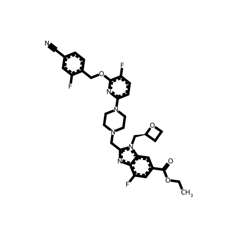 CCOC(=O)c1cc(F)c2nc(CN3CCN(c4ccc(F)c(OCc5ccc(C#N)cc5F)n4)CC3)n(C[C@@H]3CCO3)c2c1